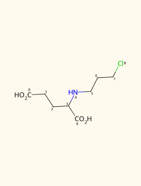 O=C(O)CCC(NCCCCl)C(=O)O